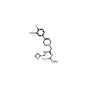 COC(C)/N=C(/CN1CC=C(c2ccc(F)c(O)c2)CC1)NC[C@@H]1CCO1